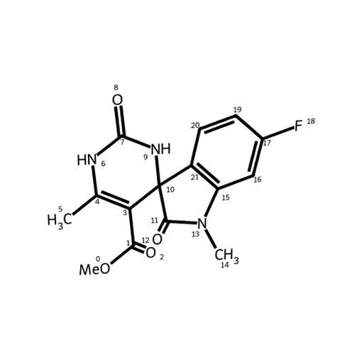 COC(=O)C1=C(C)NC(=O)NC12C(=O)N(C)c1cc(F)ccc12